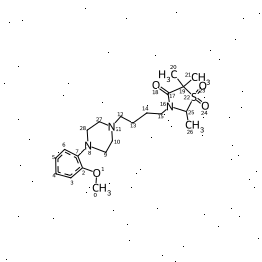 COc1ccccc1N1CCN(CCCCN2C(=O)C(C)(C)S(=O)(=O)C2C)CC1